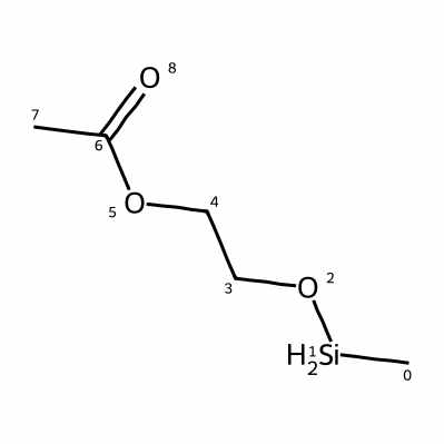 C[SiH2]OCCOC(C)=O